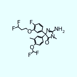 Cc1cc([C@@]2(c3ccc(F)c(OCCC(F)F)c3)N=C(N)N(C)C2=O)ccc1OC(F)F